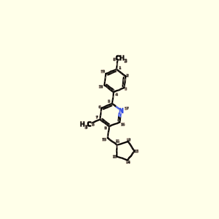 Cc1ccc(-c2cc(C)c(CC3CCCC3)cn2)cc1